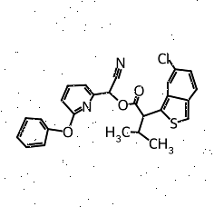 CC(C)C(C(=O)OC(C#N)c1cccc(Oc2ccccc2)n1)c1scc2ccc(Cl)cc12